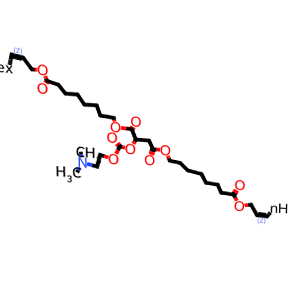 CCCCCC/C=C\COC(=O)CCCCCCCOC(=O)CC(OC(=O)OCCN(C)C)C(=O)OCCCCCCCC(=O)OC/C=C\CCCCCC